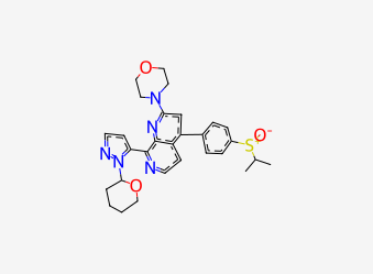 CC(C)[S+]([O-])c1ccc(-c2cc(N3CCOCC3)nc3c(-c4ccnn4C4CCCCO4)nccc23)cc1